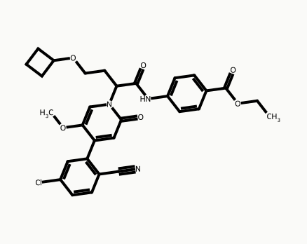 CCOC(=O)c1ccc(NC(=O)C(CCOC2CCC2)n2cc(OC)c(-c3cc(Cl)ccc3C#N)cc2=O)cc1